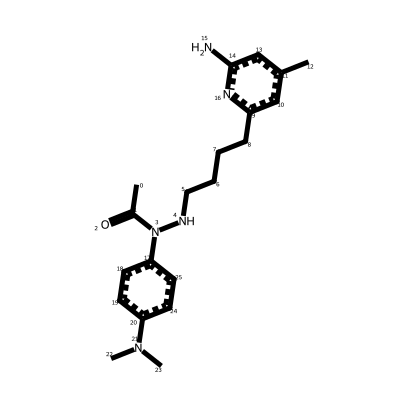 CC(=O)N(NCCCCc1cc(C)cc(N)n1)c1ccc(N(C)C)cc1